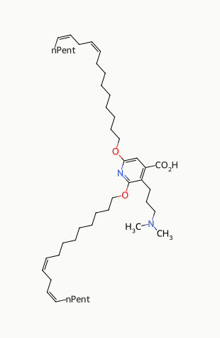 CCCCC/C=C\C/C=C\CCCCCCCCOc1cc(C(=O)O)c(CCCN(C)C)c(OCCCCCCCC/C=C\C/C=C\CCCCC)n1